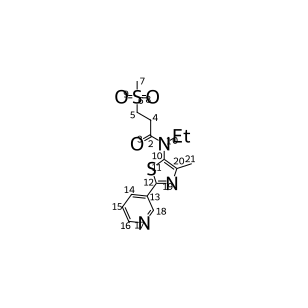 CCN(C(=O)CCS(C)(=O)=O)c1sc(-c2cccnc2)nc1C